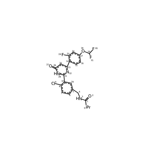 CC(C)C(=O)NCc1ccc(Cl)c(-c2nc(-c3ccc(OC(F)F)cc3F)cc(=O)[nH]2)c1